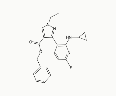 CCn1cc(C(=O)OCc2ccccc2)c(-c2ccc(F)nc2NC2CC2)n1